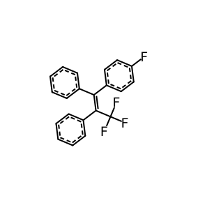 Fc1ccc(C(=C(c2ccccc2)C(F)(F)F)c2ccccc2)cc1